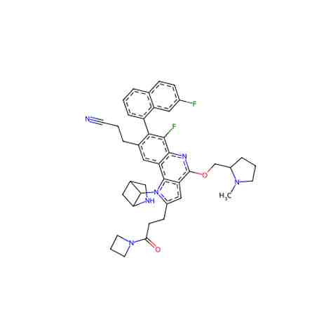 CN1CCCC1COc1nc2c(F)c(-c3cccc4ccc(F)cc34)c(CCC#N)cc2c2c1cc(CCC(=O)N1CCC1)n2C1C2CNC1C2